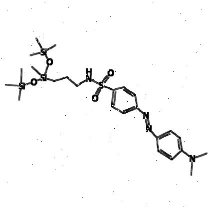 CN(C)c1ccc(N=Nc2ccc(S(=O)(=O)NCCC[Si](C)(O[Si](C)(C)C)O[Si](C)(C)C)cc2)cc1